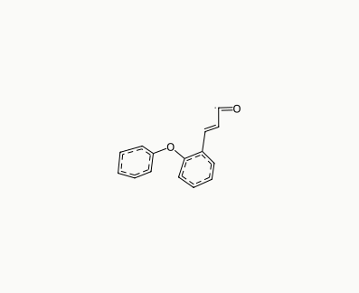 O=[C]C=Cc1ccccc1Oc1ccccc1